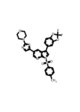 Cc1ccc(S(=O)(=O)n2cc(-c3ccc4c(c3)OC(F)(F)O4)c3cc(-c4cnc(N5CCOCC5)s4)cnc32)cc1